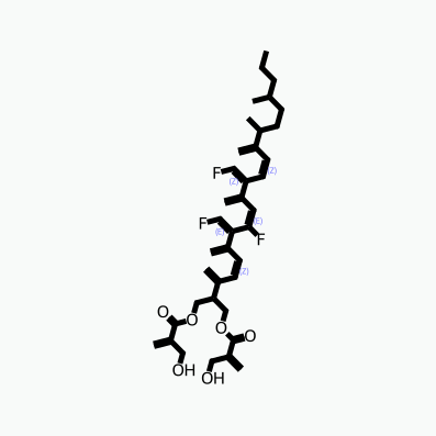 C=C(CO)C(=O)OCC(COC(=O)C(=C)CO)C(=C)/C=C\C(=C)C(=C\F)/C(F)=C\C(=C)C(/C=C\C(=C)C(C)CCC(C)CCC)=C\F